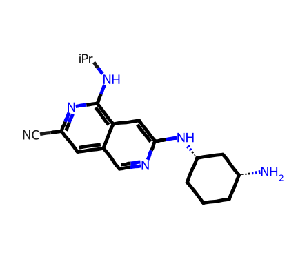 CC(C)Nc1nc(C#N)cc2cnc(N[C@H]3CCC[C@@H](N)C3)cc12